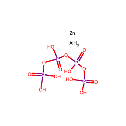 O=P(O)(O)OP(=O)(O)OP(=O)(O)OP(=O)(O)O.[AlH3].[Zn]